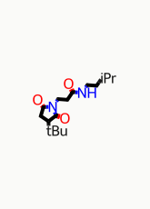 CC(C)CCNC(=O)CCN1C(=O)CC(C(C)(C)C)C1=O